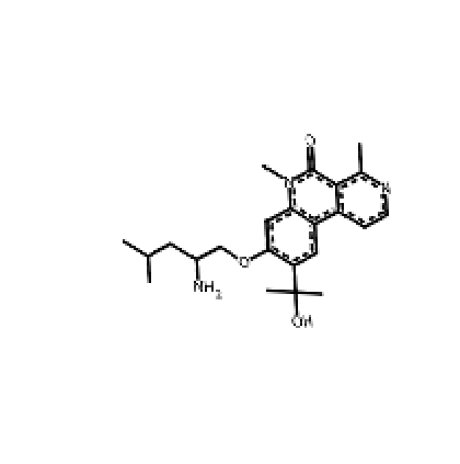 Cc1nccc2c1c(=O)n(C)c1cc(OCC(N)CC(C)C)c(C(C)(C)O)cc21